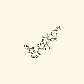 CON=C(C(=O)NC1C(=O)N2C(C(=O)[O-])=C(C[n+]3cccc(N)c3)CS[C@@H]12)c1nsc(N)n1